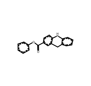 O=C(Oc1ccccc1)c1ccc2c(c1)Cc1ccccc1N2